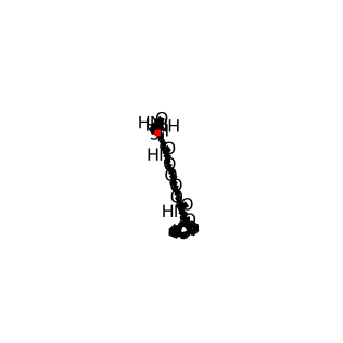 O=C(CCCCC1SC[C@@H]2NC(=O)N[C@H]12)NCCOCCOCCOCCOCCC(=O)NCCC(=O)N1Cc2ccccc2C#Cc2ccccc21